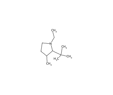 CCN1CCC(C)C1C(C)(C)C